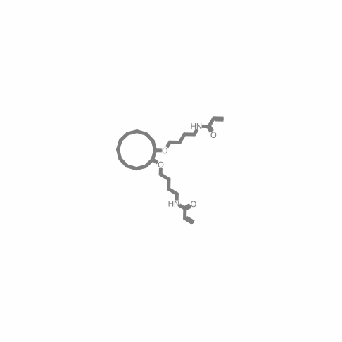 C=CC(=O)NCCCCOC1CCCCCCCCCCC1OCCCCNC(=O)C=C